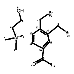 C[N+](C)(C)CCO.O=C(I)c1ccc(CBr)c(CBr)c1